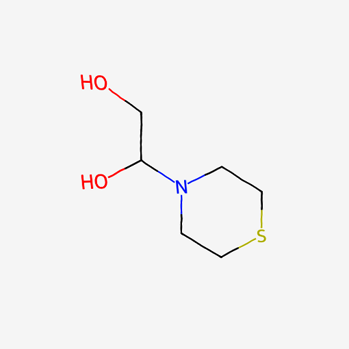 OCC(O)N1CCSCC1